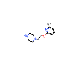 CCc1cccc(OCCN2CCNCC2)n1